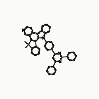 CC1(C)c2ccccc2-c2c1c1cnccc1c1c3ccccc3n(-c3ccc(-c4cc(-c5ccccc5)nc(-c5ccccc5)n4)cc3)c21